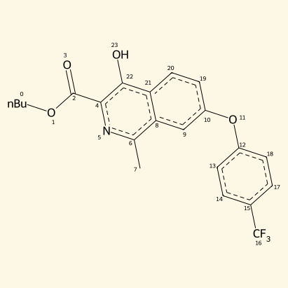 CCCCOC(=O)c1nc(C)c2cc(Oc3ccc(C(F)(F)F)cc3)ccc2c1O